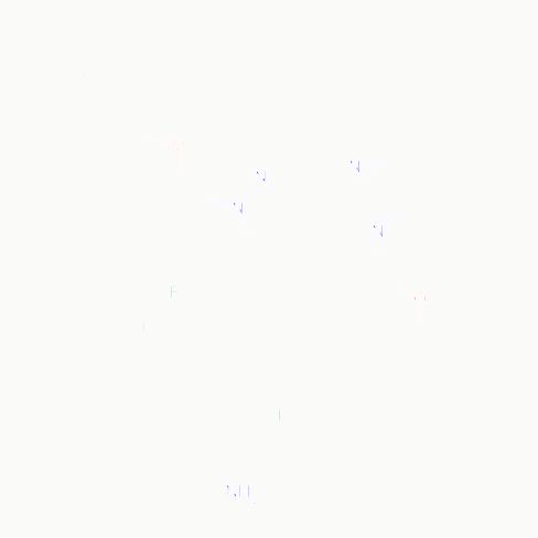 CS(C)(C)CCOCn1c(Cl)cnc1-c1nn(COCCS(C)(C)C)c2c(F)c(-c3c(F)ccc(N)c3F)ccc12